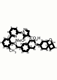 COc1c(C(=O)O)cnn1-c1cccc(-c2cccc(C)c2OCc2ccc3c(c2)CCN(C2=CC4OC5CCC45CC2)C3)n1